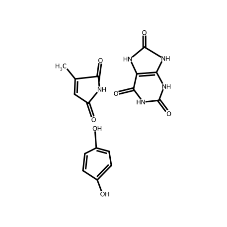 CC1=CC(=O)NC1=O.O=c1[nH]c(=O)c2[nH]c(=O)[nH]c2[nH]1.Oc1ccc(O)cc1